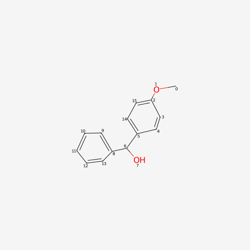 COc1ccc(C(O)c2ccccc2)cc1